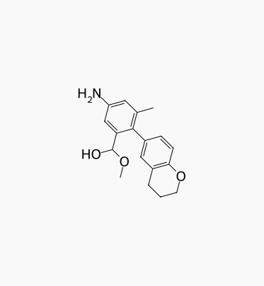 COC(O)c1cc(N)cc(C)c1-c1ccc2c(c1)CCCO2